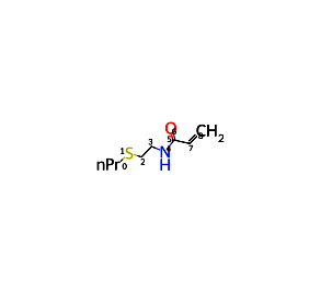 [CH2]CCSCCNC(=O)C=C